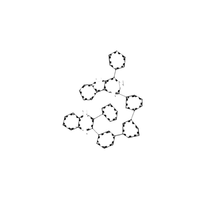 c1ccc(-c2nc3ccccc3nc2-c2cccc(-c3cccc(-c4cccc(-c5nc(-c6ccccc6)c6oc7ccccc7c6n5)c4)c3)c2)cc1